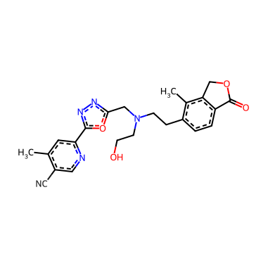 Cc1cc(-c2nnc(CN(CCO)CCc3ccc4c(c3C)COC4=O)o2)ncc1C#N